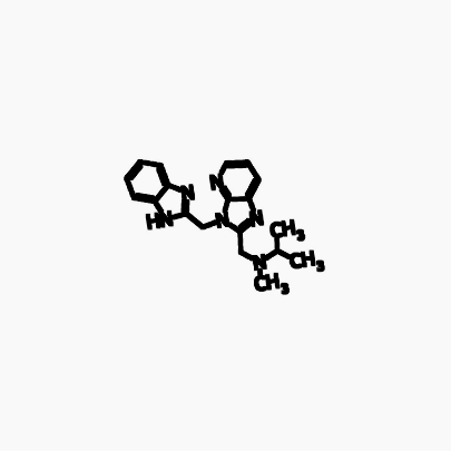 CC(C)N(C)Cc1nc2cccnc2n1Cc1nc2ccccc2[nH]1